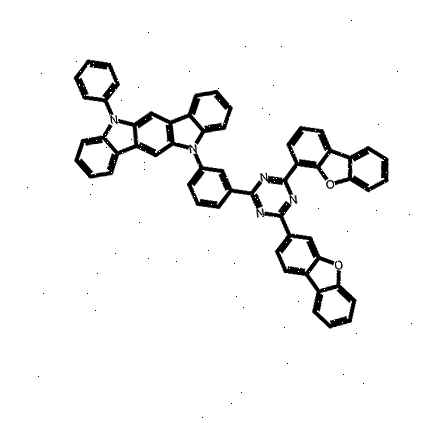 c1ccc(-n2c3ccccc3c3cc4c(cc32)c2ccccc2n4-c2cccc(-c3nc(-c4ccc5c(c4)oc4ccccc45)nc(-c4cccc5c4oc4ccccc45)n3)c2)cc1